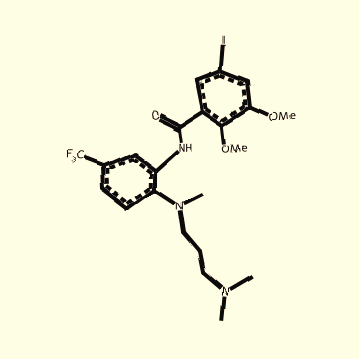 COc1cc(I)cc(C(=O)Nc2cc(C(F)(F)F)ccc2N(C)CCCN(C)C)c1OC